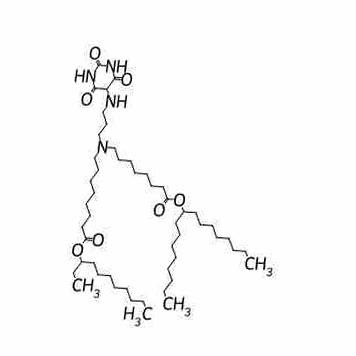 CCCCCCCCC(CC)OC(=O)CCCCCCCN(CCCCCCCC(=O)OC(CCCCCCCC)CCCCCCCC)CCCNC1C(=O)NC(=O)NC1=O